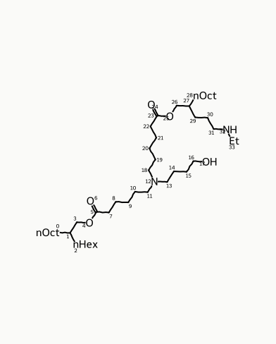 CCCCCCCCC(CCCCCC)COC(=O)CCCCCN(CCCCO)CCCCCC(=O)OCC(CCCCCCCC)CCCNCC